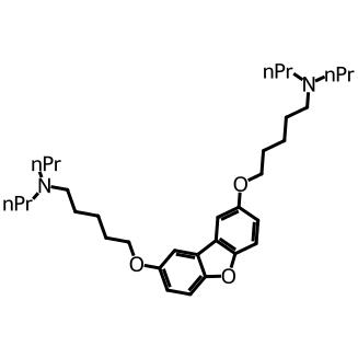 CCCN(CCC)CCCCCOc1ccc2oc3ccc(OCCCCCN(CCC)CCC)cc3c2c1